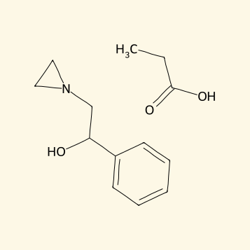 CCC(=O)O.OC(CN1CC1)c1ccccc1